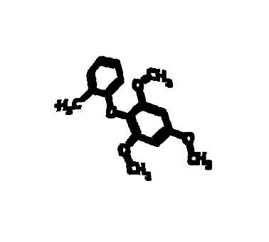 [CH2]c1ccccc1Oc1c(OC)cc(OC)cc1OC